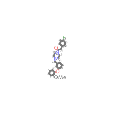 COc1ccccc1Oc1cccc(CN2CCN(C(=O)Cc3ccc(F)cc3)CC2)c1